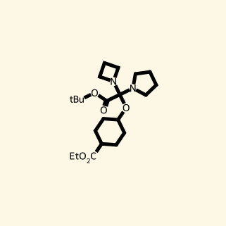 CCOC(=O)C1CCC(OC(C(=O)OC(C)(C)C)(N2CCCC2)N2CCC2)CC1